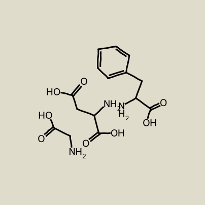 NC(CC(=O)O)C(=O)O.NC(Cc1ccccc1)C(=O)O.NCC(=O)O